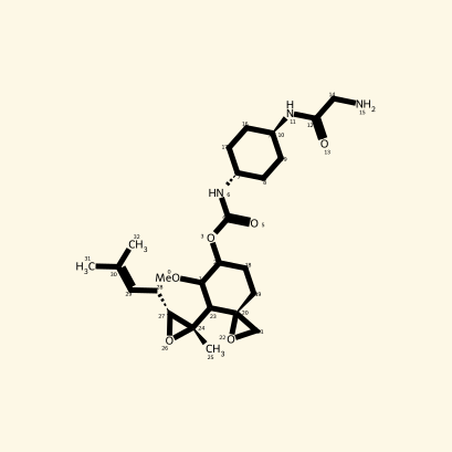 COC1C(OC(=O)N[C@H]2CC[C@H](NC(=O)CN)CC2)CC[C@]2(CO2)C1[C@]1(C)O[C@@H]1CC=C(C)C